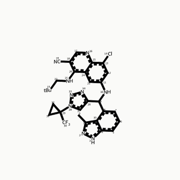 Cc1n[nH]c2cccc(C(Nc3cc(Cl)c4ncc(C#N)c(NCC(C)(C)C)c4c3)c3cn(C4(C(F)(F)F)CC4)nn3)c12